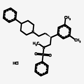 Cc1cc(C)cc([C@@H](CCN2CCC(c3ccccc3)CC2)CN(C)S(=O)(=O)c2ccccc2)c1.Cl